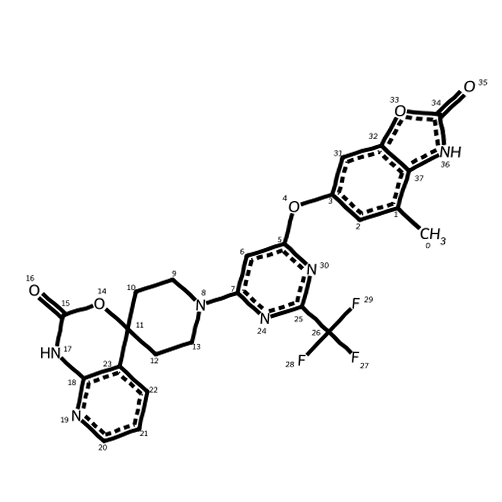 Cc1cc(Oc2cc(N3CCC4(CC3)OC(=O)Nc3ncccc34)nc(C(F)(F)F)n2)cc2oc(=O)[nH]c12